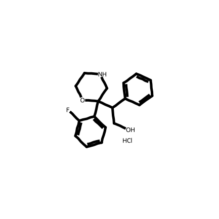 Cl.OCC(c1ccccc1)C1(c2ccccc2F)CNCCO1